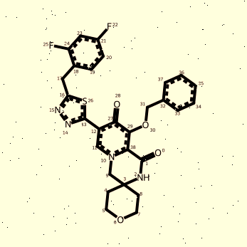 O=C1NC2(CCOCC2)Cn2cc(-c3nnc(Cc4ccc(F)cc4F)s3)c(=O)c(OCc3ccccc3)c21